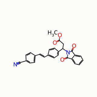 COC(=O)CC(c1ccc(/C=C/c2ccc(C#N)cc2)cc1)N1C(=O)c2ccccc2C1=O